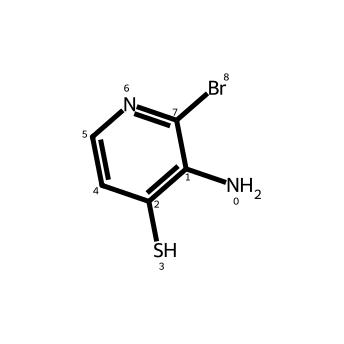 Nc1c(S)ccnc1Br